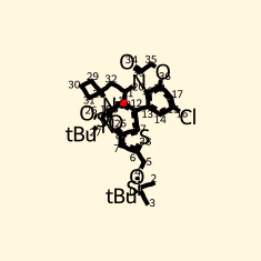 CC(C)(C)[Si](C)(C)OCc1cc2nccc(-c3cc(Cl)cc4c3N(C3CN(S(=O)(=O)C(C)(C)C)C5(CCC5)C3)C(=O)CO4)c2s1